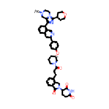 CC(=O)N1CCn2c(C3CCOCC3)nc(-c3cccc4cc(-c5ccc(O[C@H]6CCCN(C(=O)CCc7cccc8c7CN(C7CCC(=O)NC7=O)C8=O)C6)cc5)ncc34)c2C1